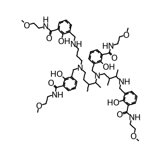 COCCNC(=O)c1cccc(CNCCCN(CCC(C)C(C)N(Cc2cccc(C(=O)NCCOC)c2O)CC(C)C(C)NCc2cccc(C(=O)NCCOC)c2O)Cc2cccc(C(=O)NCCOC)c2O)c1O